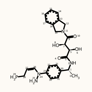 C[C@@H](NC(=O)[C@H](O)[C@@H](O)C(=O)N1Cc2ccccc2C1)c1ccc(N(N)/C=C\CP)cc1